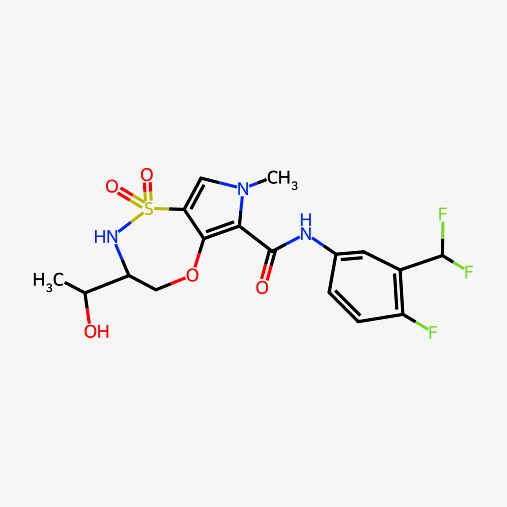 CC(O)C1COc2c(cn(C)c2C(=O)Nc2ccc(F)c(C(F)F)c2)S(=O)(=O)N1